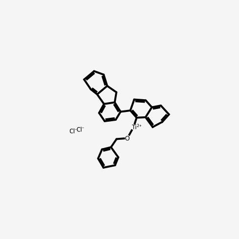 [Cl-].[Cl-].c1ccc(C[O][Ti+2][c]2c(-c3cccc4c3Cc3ccccc3-4)ccc3ccccc23)cc1